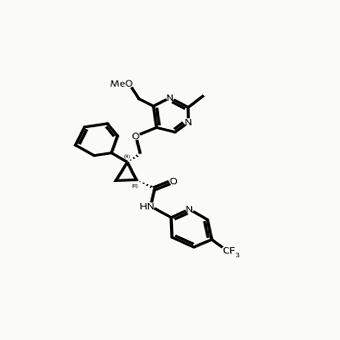 COCc1nc(C)ncc1OC[C@@]1(C2C=CC=CC2)C[C@H]1C(=O)Nc1ccc(C(F)(F)F)cn1